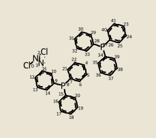 [Cl][Ni][Cl].[N].c1ccc(P(c2ccccc2)c2ccccc2)cc1.c1ccc(P(c2ccccc2)c2ccccc2)cc1